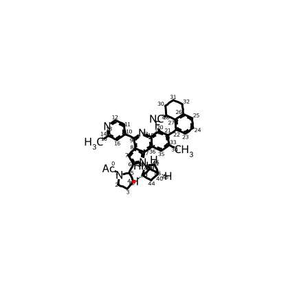 CC(=O)N1CCCC1c1cc2c(-c3ccnc(C)c3)nc3c(F)c(-c4cccc5c4C(C#N)CCC5)c(C)cc3c2n1[C@H]1[C@H]2CN[C@@H]1C2